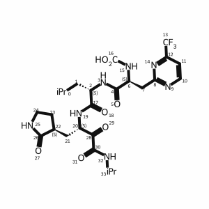 CC(C)C[C@H](NC(=O)[C@H](Cc1nccc(C(F)(F)F)n1)NC(=O)O)C(=O)N[C@@H](C[C@@H]1CCNC1=O)C(=O)C(=O)NC(C)C